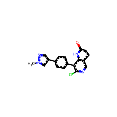 Cn1cc(-c2ccc(-c3c(Cl)ncc4ccc(=O)[nH]c34)cc2)cn1